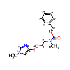 CN(CCOCc1cn(C)cn1)C(=O)OCc1ccccc1